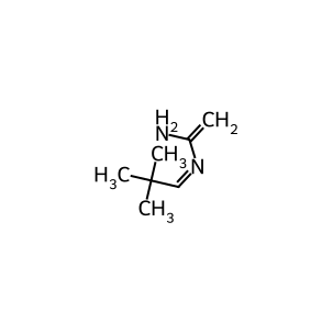 C=C(N)/N=C\C(C)(C)C